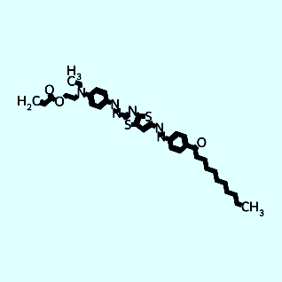 C=CC(=O)OCCN(CC)c1ccc(N=Nc2nc3sc(N=Nc4ccc(C(=O)CCCCCCCCCC)cc4)cc3s2)cc1